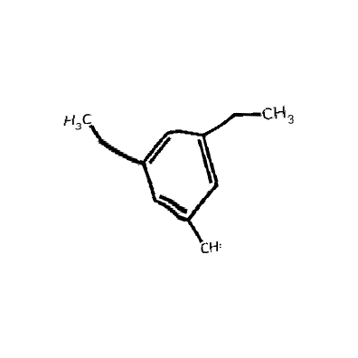 [CH]c1cc(CC)cc(CC)c1